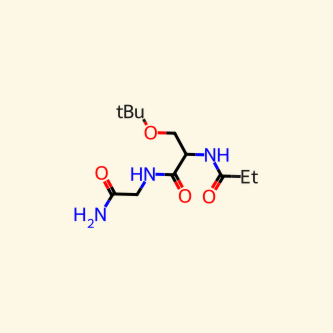 CCC(=O)NC(COC(C)(C)C)C(=O)NCC(N)=O